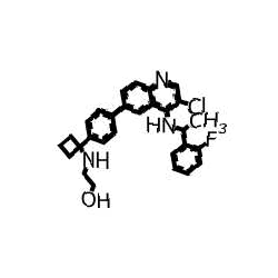 CC(Nc1c(Cl)cnc2ccc(-c3ccc(C4(NCCO)CCC4)cc3)cc12)c1ccccc1F